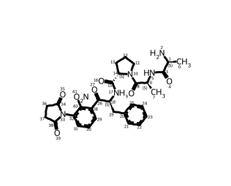 C[C@H](N)C(=O)N[C@@H](C)C(=O)N1CCC[C@H]1C(=O)N[C@@H](Cc1ccccc1)C(=O)c1cccc(N2C(=O)CCC2=O)c1[N+](=O)[O-]